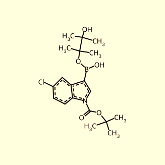 CC(C)(C)OC(=O)n1cc(B(O)OC(C)(C)C(C)(C)O)c2cc(Cl)ccc21